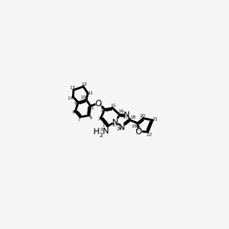 Nc1cc(Oc2cccc3c2CCCC3)cc2nc(-c3ccco3)nn12